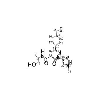 CC(CO)NC(=O)c1cc(-c2ccc(CF)cc2)nn(-c2cnn(C)c2)c1=O